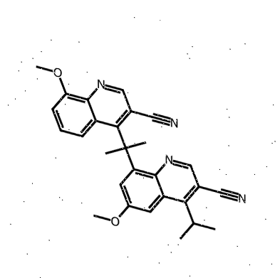 COc1cc(C(C)(C)c2c(C#N)cnc3c(OC)cccc23)c2ncc(C#N)c(C(C)C)c2c1